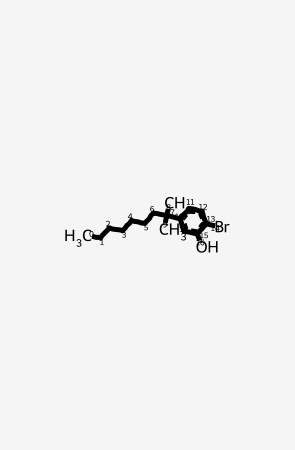 CCCCCCCC(C)(C)c1ccc(Br)c(O)c1